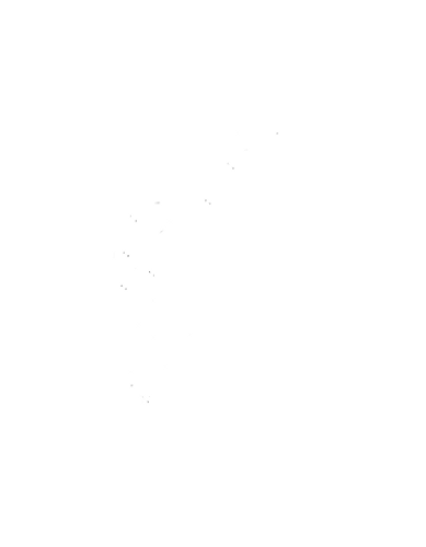 Cc1nccc(-c2cc3[nH]c(Nc4cc(C(C)N5CCN(C(=O)CC(F)(F)F)CC5)ccn4)nc3cc2F)c1O